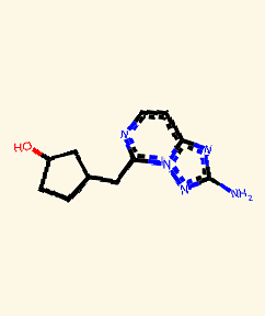 Nc1nc2ccnc(CC3CCC(O)C3)n2n1